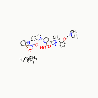 Cc1c(-c2ccc(N3CCc4cccc(C(=O)N(COCC[Si](C)(C)C)c5nc6ccccc6s5)c4C3)nc2C(=O)O)cnn1Cc1ccccc1OCCN(C)C